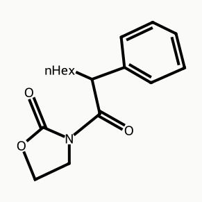 CCCCCCC(C(=O)N1CCOC1=O)c1ccccc1